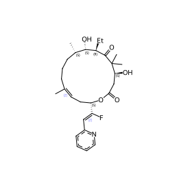 CC[C@H]1C(=O)C(C)(C)[C@@H](O)CC(=O)O[C@H](/C(F)=C/c2ccccn2)C/C=C(/C)CCC[C@H](C)[C@@H]1O